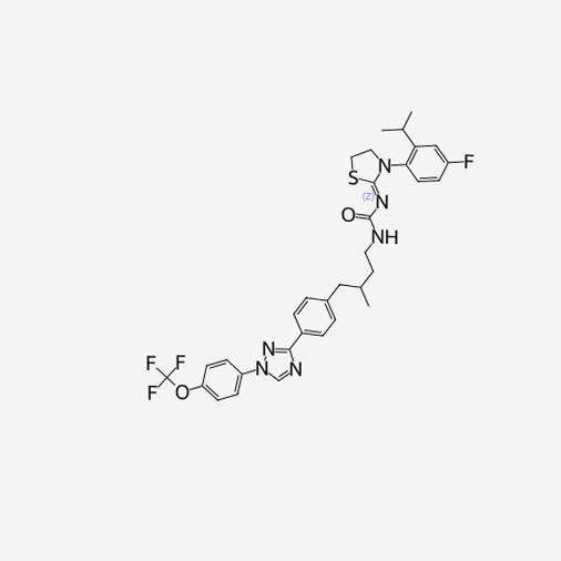 CC(CCNC(=O)/N=C1\SCCN1c1ccc(F)cc1C(C)C)Cc1ccc(-c2ncn(-c3ccc(OC(F)(F)F)cc3)n2)cc1